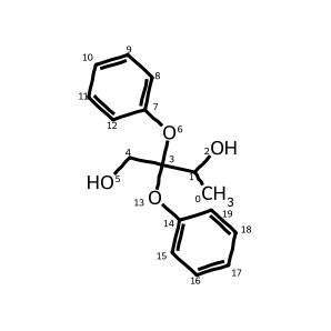 CC(O)C(CO)(Oc1ccccc1)Oc1ccccc1